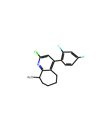 CC(=O)OC1CCCCc2c(-c3ccc(F)cc3F)cc(Cl)nc21